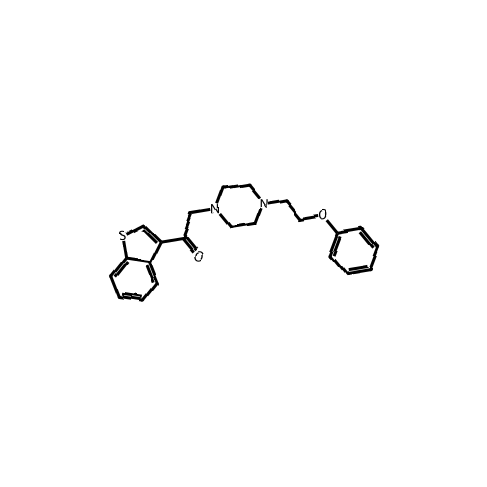 O=C(CN1CCN(CCOc2ccccc2)CC1)c1csc2ccccc12